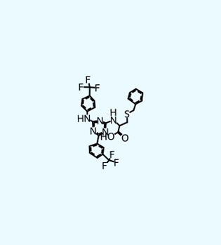 O=C(O)C(CSCc1ccccc1)Nc1nc(Nc2ccc(C(F)(F)F)cc2)nc(-c2cccc(C(F)(F)F)c2)n1